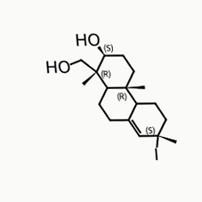 C[C@]12CC[C@H](O)[C@@](C)(CO)C1CCC1=C[C@@](C)(I)CCC12